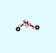 CC(C(=O)OCCOc1ccccc1)C(=O)OCCOc1ccccc1